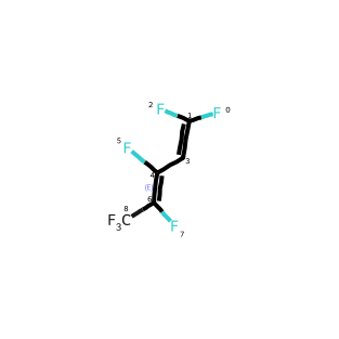 FC(F)=C/C(F)=C(\F)C(F)(F)F